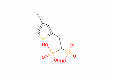 Cc1csc(CC(P(=O)(O)O)P(=O)(O)O)c1